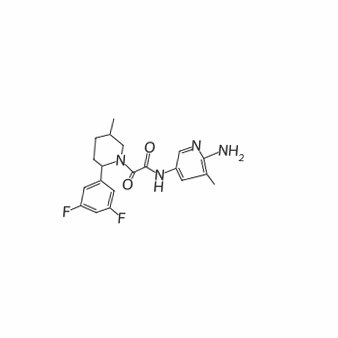 Cc1cc(NC(=O)C(=O)N2CC(C)CCC2c2cc(F)cc(F)c2)cnc1N